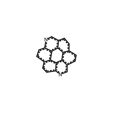 c1cc2cnc3ccc4ccc5ncc6ccc1c1c2c3c4c5c61